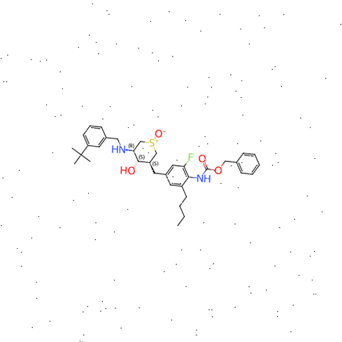 CCCCc1cc(C[C@@H]2C[S+]([O-])C[C@H](NCc3cccc(C(C)(C)C)c3)[C@H]2O)cc(F)c1NC(=O)OCc1ccccc1